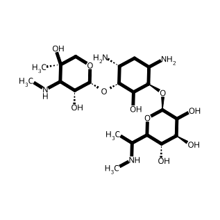 CNC(C)C1O[C@@H](O[C@@H]2C(N)C[C@@H](N)[C@@H](O[C@H]3OC[C@](C)(O)C(NC)[C@H]3O)C2O)C(O)[C@@H](O)[C@@H]1O